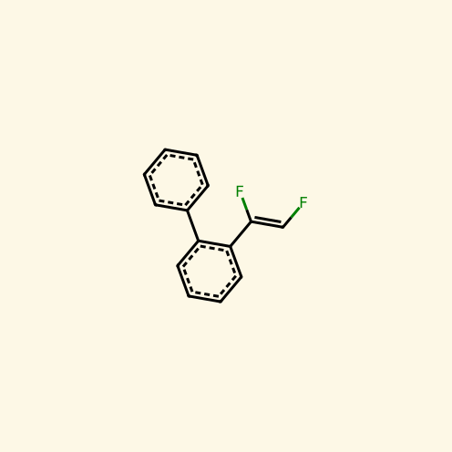 FC=C(F)c1ccccc1-c1ccccc1